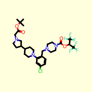 CC(C)(C)OC(=O)CN1CCC(C2CCN(c3cc(Cl)ccc3CN3CCN(C(=O)OC(C(F)(F)F)C(F)(F)F)CC3)CC2)C1